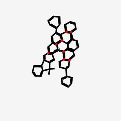 CC1(C)c2ccccc2-c2ccc(N(c3ccc(-c4ccccc4)cc3)c3ccccc3-c3ccccc3-c3ccccc3N(c3ccc(-c4ccccc4)cc3)c3cccc(-c4ccccc4)c3)cc21